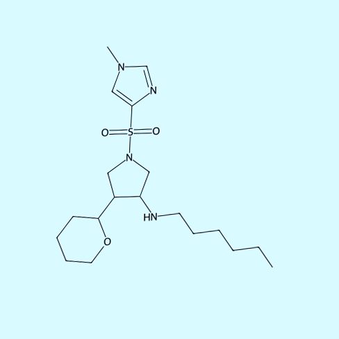 CCCCCCNC1CN(S(=O)(=O)c2cn(C)cn2)CC1C1CCCCO1